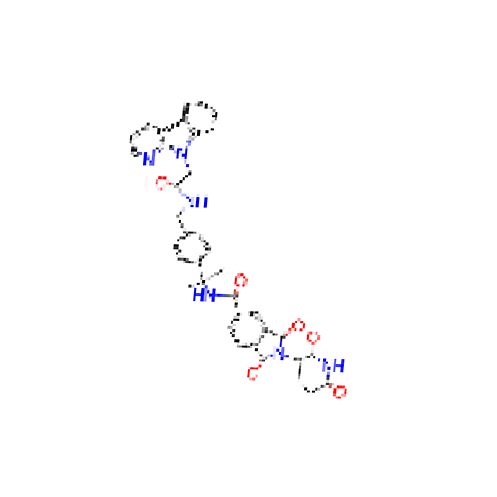 CC(C)(NC(=O)c1ccc2c(c1)C(=O)N(C1CCC(=O)NC1=O)C2=O)c1ccc(CNC(O)Cn2c3ccccc3c3cccnc32)cc1